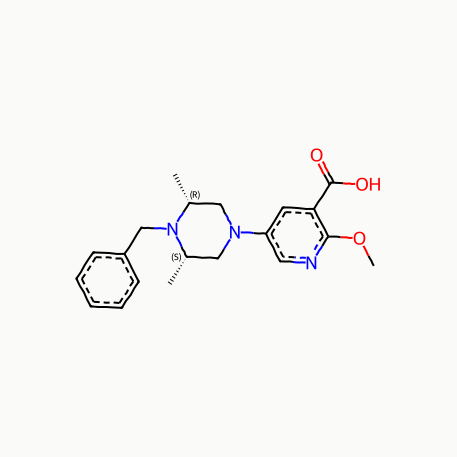 COc1ncc(N2C[C@@H](C)N(Cc3ccccc3)[C@@H](C)C2)cc1C(=O)O